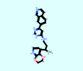 CC(CCNc1cc(-c2ccc3ccncc3c2)ncn1)c1ccnc2c1OCCO2